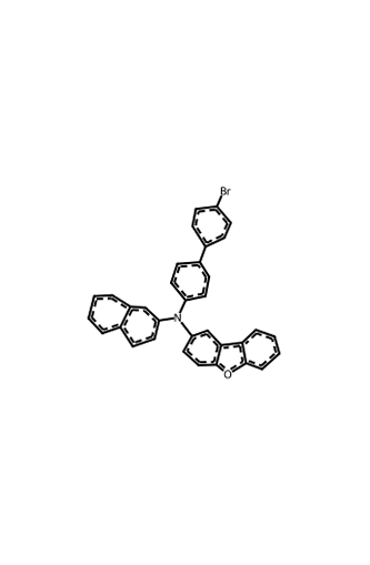 Brc1ccc(-c2ccc(N(c3ccc4ccccc4c3)c3ccc4oc5ccccc5c4c3)cc2)cc1